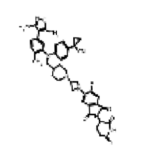 Cc1ccc(-c2c(C)noc2C)cc1N(CC1CCN(C2CN(c3cc4c(cc3F)C(=O)N(C3CCC(=O)NC3=O)C4=O)C2)CC1)c1ccc(C2(C#N)CC2)cc1